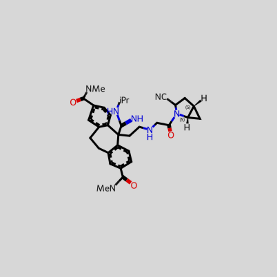 CNC(=O)c1ccc2c(c1)CCc1cc(C(=O)NC)ccc1C2(CCNCC(=O)N1C(C#N)C[C@@H]2C[C@@H]21)C(=N)NC(C)C